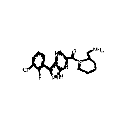 NCC1CCCCN1C(=O)c1cnc2c(-c3cccc(Cl)c3F)n[nH]c2n1